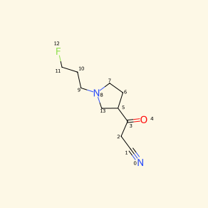 N#CCC(=O)C1CCN(CCCF)C1